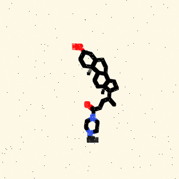 CCCCN1CCN(C(=O)CCC(C)C2CCC3C4CCC5C[C@H](O)CC[C@]5(C)C4CC[C@]23C)CC1